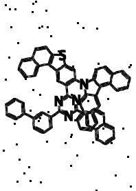 c1ccc(-c2cccc(-c3nc(-c4ccc5ccccc5c4)nc(-c4cc5c(cc4-n4c6cc7ccccc7cc6c6c7ccccc7ccc64)sc4ccc6ccccc6c45)n3)c2)cc1